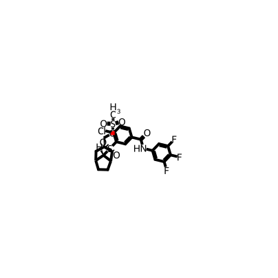 CS(=O)(=O)OC[C@H]1CC2CCC(C1)[C@@H]2S(=O)(=O)c1cc(C(=O)Nc2cc(F)c(F)c(F)c2)ccc1Cl